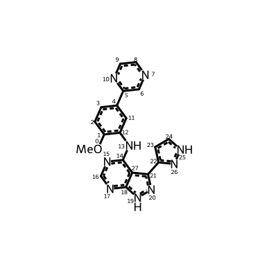 COc1ccc(-c2cnccn2)cc1Nc1ncnc2[nH]nc(-c3cc[nH]n3)c12